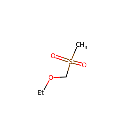 CCOCS(C)(=O)=O